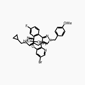 COc1ccc(Cn2cc(Cc3cnn(CC4CC4)c3)c(-c3ccc(F)cc3C(C)(C)Oc3cc(Br)cnc3[N+](=O)[O-])n2)cc1